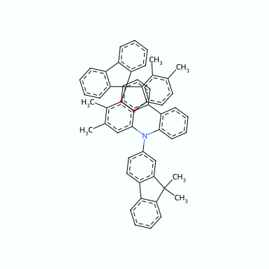 Cc1ccc2c(c1C)C1(c3ccccc3-c3ccccc31)c1c(C)c(C)cc(N(c3ccc4c(c3)C(C)(C)c3ccccc3-4)c3ccccc3-c3ccccc3)c1-2